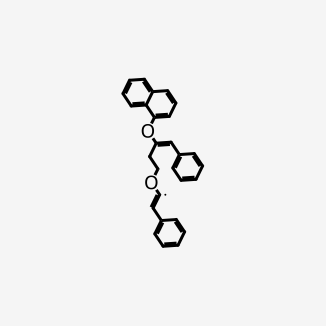 [C](=Cc1ccccc1)OCCC(=Cc1ccccc1)Oc1cccc2ccccc12